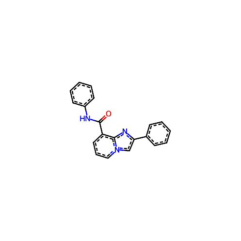 O=C(Nc1ccccc1)c1cccn2cc(-c3ccccc3)nc12